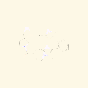 Cc1nc(C)c(-c2ccccc2-c2nc3cc(C(=O)N4CC[C@@](O)(CN)C4)ccn3c2C)s1